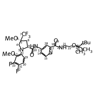 COc1c(N2C[C@@](OC)(C(F)(F)F)C[C@H]2C(=O)Nc2ccnc(C(=O)NCCO[Si](C)(C)C(C)(C)C)c2)ccc(F)c1F